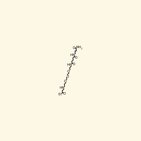 CCC(=O)CCNCCCOCCOCCOCCCNC(=O)CCCC(=O)NC/C=C/C(N)=O